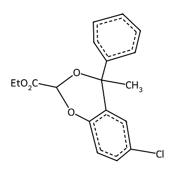 CCOC(=O)C1Oc2ccc(Cl)cc2C(C)(c2ccccc2)O1